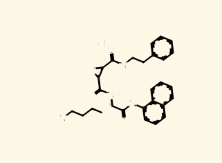 Cl.NCCCC[C@H](NC(=O)C1OC1C(=O)NCCc1ccccc1)C(=O)Nc1cccc2ccccc12